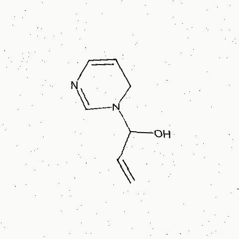 C=CC(O)N1C=NC=CC1